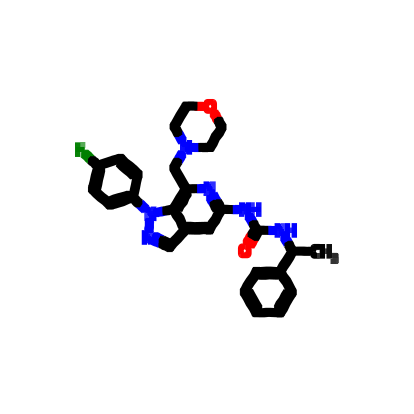 CC(NC(=O)Nc1cc2cnn(-c3ccc(F)cc3)c2c(CN2CCOCC2)n1)c1ccccc1